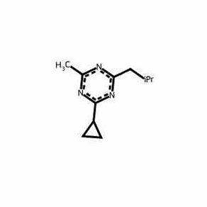 Cc1nc(CC(C)C)nc(C2CC2)n1